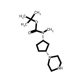 CN(C(=O)OC(C)(C)C)[C@H]1CC[C@@H](N2CCNCC2)C1